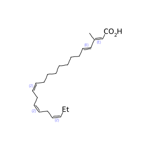 CC/C=C\C/C=C\C/C=C\CCCCCCC/C=C/C(C)=C/C(=O)O